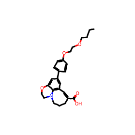 CCCCOCCOc1ccc(-c2cc3c4c(c2)OCCN4CCC/C(C(=O)O)=C\3)cc1